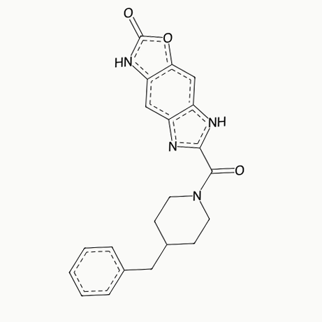 O=C(c1nc2cc3[nH]c(=O)oc3cc2[nH]1)N1CCC(Cc2ccccc2)CC1